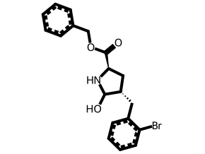 O=C(OCc1ccccc1)[C@H]1C[C@H](Cc2ccccc2Br)C(O)N1